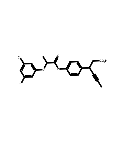 CC#CC(CC(=O)O)c1ccc(NC(=O)C(C)Oc2cc(Cl)cc(Cl)c2)cc1